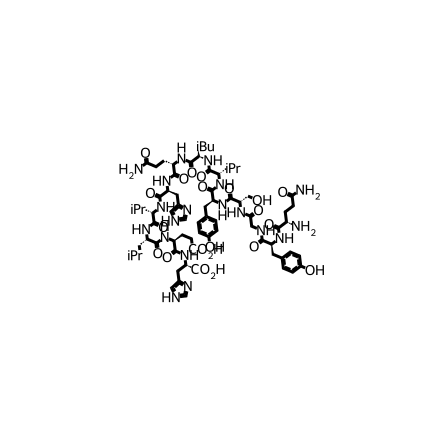 CC[C@H](C)[C@H](NC(=O)[C@@H](NC(=O)[C@H](Cc1ccc(O)cc1)NC(=O)[C@H](CO)NC(=O)CNC(=O)[C@H](Cc1ccc(O)cc1)NC(=O)[C@@H](N)CCC(N)=O)C(C)C)C(=O)N[C@@H](CCC(N)=O)C(=O)N[C@@H](Cc1c[nH]cn1)C(=O)N[C@H](C(=O)N[C@@H](CC(C)C)C(=O)N[C@@H](CCC(=O)O)C(=O)N[C@@H](Cc1c[nH]cn1)C(=O)O)C(C)C